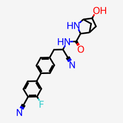 N#Cc1ccc(-c2ccc(CC(C#N)NC(=O)C3NC4CC3CC4O)cc2)cc1F